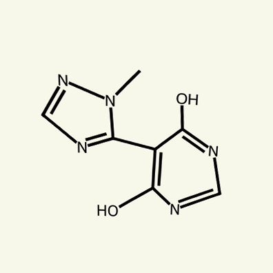 Cn1ncnc1-c1c(O)ncnc1O